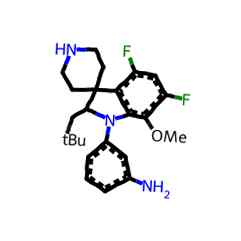 COc1c(F)cc(F)c2c1N(c1cccc(N)c1)C(CC(C)(C)C)C21CCNCC1